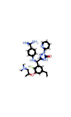 CCc1cc(OC(C)CN(C)C)c(F)c(C(Nc2ccc(C(=N)N)cc2)c2nn(-c3ccccn3)c(=O)[nH]2)c1